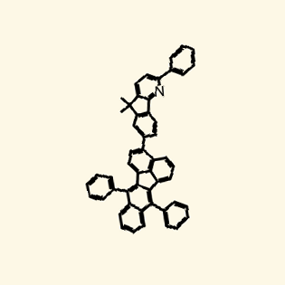 CC1(C)c2cc(-c3ccc4c5c(cccc35)-c3c-4c(-c4ccccc4)c4ccccc4c3-c3ccccc3)ccc2-c2nc(-c3ccccc3)ccc21